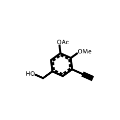 C#Cc1cc(CO)cc(OC(C)=O)c1OC